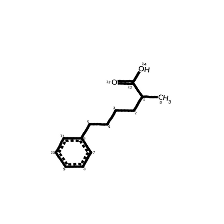 CC(CCCCc1ccccc1)C(=O)O